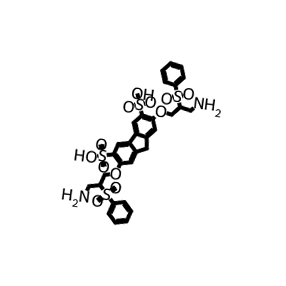 NCC(COc1cc2c(cc1S(=O)(=O)O)-c1cc(S(=O)(=O)O)c(OCC(CN)S(=O)(=O)c3ccccc3)cc1C2)S(=O)(=O)c1ccccc1